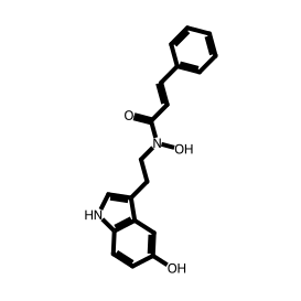 O=C(C=Cc1ccccc1)N(O)CCc1c[nH]c2ccc(O)cc12